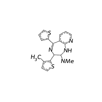 CNC1Nc2ncccc2C(c2cccs2)=NC1c1sccc1C